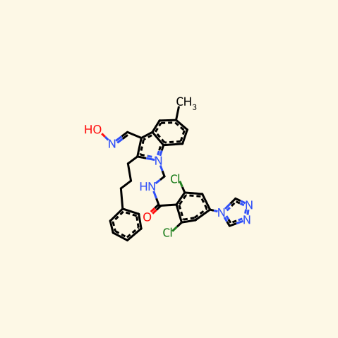 Cc1ccc2c(c1)c(/C=N/O)c(CCCc1ccccc1)n2CNC(=O)c1c(Cl)cc(-n2cnnc2)cc1Cl